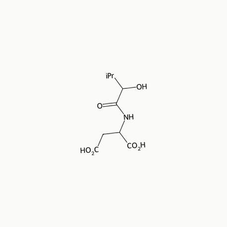 CC(C)C(O)C(=O)NC(CC(=O)O)C(=O)O